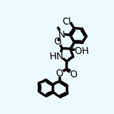 CN1OC2NC(C(=O)Oc3cccc4ccccc34)CC2(O)c2cccc(Cl)c21